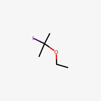 CCOC(C)(C)I